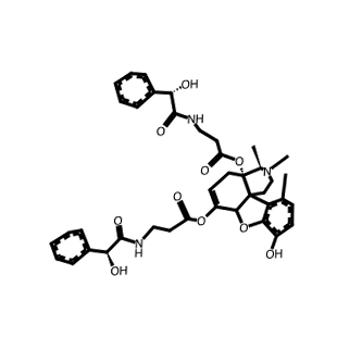 Cc1ccc(O)c2c1C13CCN(C)[C@H](C)[C@]1(OC(=O)CCNC(=O)[C@@H](O)c1ccccc1)CC=C(OC(=O)CCNC(=O)[C@@H](O)c1ccccc1)C3O2